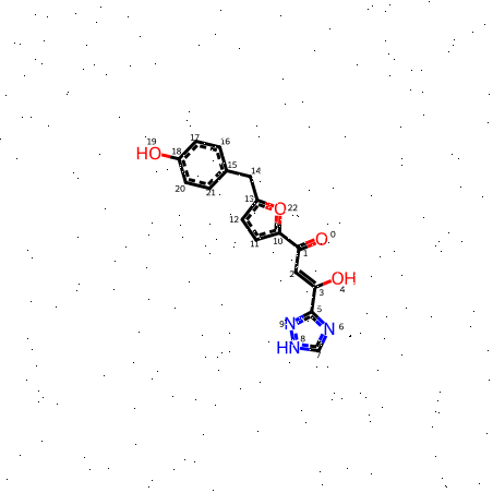 O=C(C=C(O)c1nc[nH]n1)c1ccc(Cc2ccc(O)cc2)o1